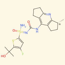 C[C@@H]1CCc2c1nc1c(c2NC(=O)N=S(N)(=O)c2cc(F)c(C(C)(C)O)s2)CCC1